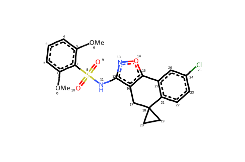 COc1cccc(OC)c1S(=O)(=O)Nc1noc2c1CC1(CC1)c1ccc(Cl)cc1-2